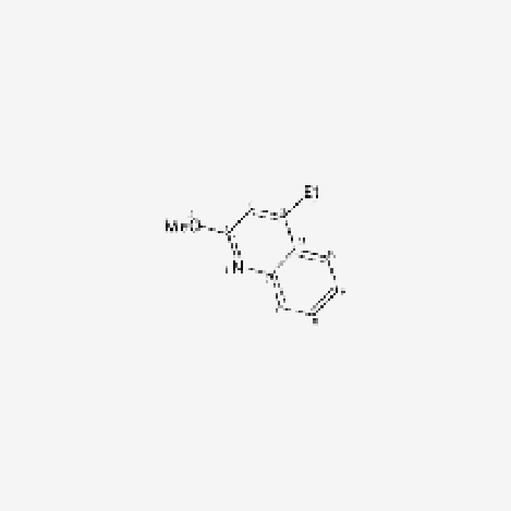 CCc1cc(OC)nc2ccccc12